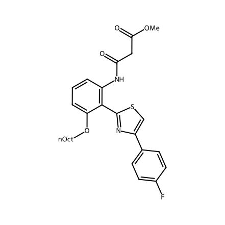 CCCCCCCCOc1cccc(NC(=O)CC(=O)OC)c1-c1nc(-c2ccc(F)cc2)cs1